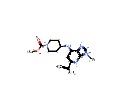 C=C(C)c1cc(NC2CCN(C(=O)OC(C)(C)C)CC2)c2ncn(C(C)C)c2n1